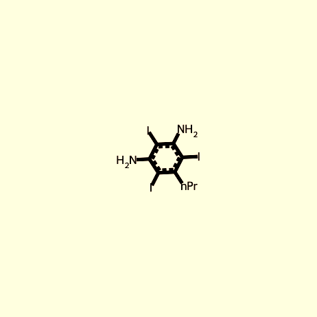 CCCc1c(I)c(N)c(I)c(N)c1I